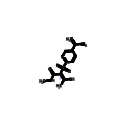 C=C(C)c1ccc(S(=O)(=O)/C(C(=O)NC)=C(/C)O)nc1